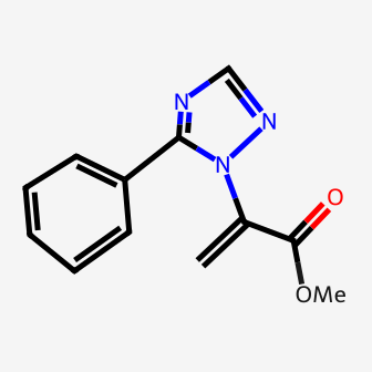 C=C(C(=O)OC)n1ncnc1-c1ccccc1